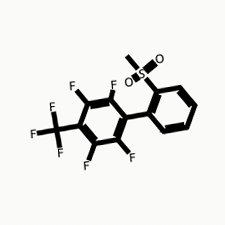 CS(=O)(=O)c1ccc[c]c1-c1c(F)c(F)c(C(F)(F)F)c(F)c1F